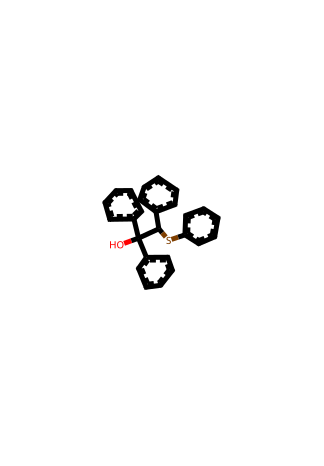 OC(c1ccccc1)(c1ccccc1)C(Sc1ccccc1)c1ccccc1